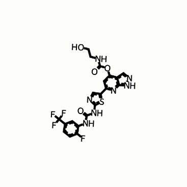 O=C(Nc1ncc(-c2cc(OC(=O)NCCO)c3cn[nH]c3n2)s1)Nc1cc(C(F)(F)F)ccc1F